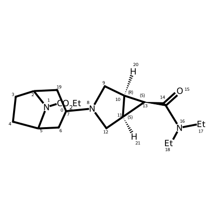 CCOC(=O)N1C2CCC1CC(N1C[C@@H]3[C@H](C1)[C@@H]3C(=O)N(CC)CC)C2